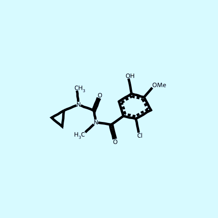 COc1cc(Cl)c(C(=O)N(C)C(=O)N(C)C2CC2)cc1O